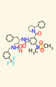 CN(c1cc(C(=O)N[C@H](Cc2ccccc2)[C@@H](O)CNCc2cccc(C(F)(F)F)c2)cc(C(=O)N2CCCC2c2ccccc2)c1)S(C)(=O)=O